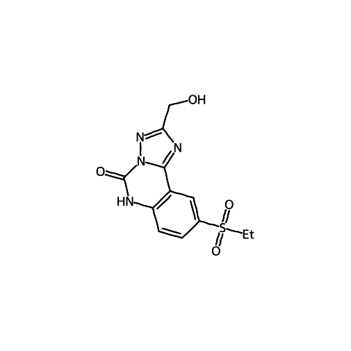 CCS(=O)(=O)c1ccc2[nH]c(=O)n3nc(CO)nc3c2c1